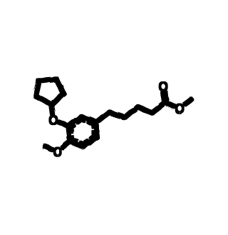 COC(=O)CCCCc1ccc(OC)c(OC2CCCC2)c1